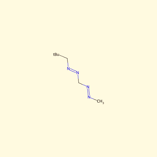 CN=NCN=NCC(C)(C)C